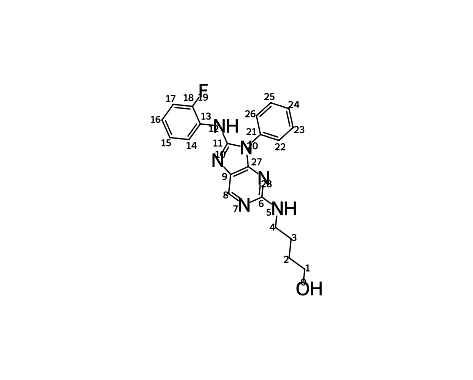 OCCCCNc1ncc2nc(Nc3ccccc3F)n(-c3ccccc3)c2n1